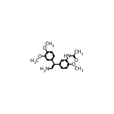 COc1ccc(C(=CN)c2ccc(OC)c(OC)c2)cc1NC(C)=O